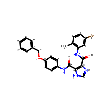 Cc1ccc(Br)cc1NC(=O)c1nc[nH]c1C(=O)Nc1ccc(OCc2ccccc2)cc1